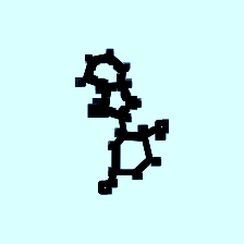 ClC1=CC(c2nc3ccccc3[nH]2)=C(Cl)CC1